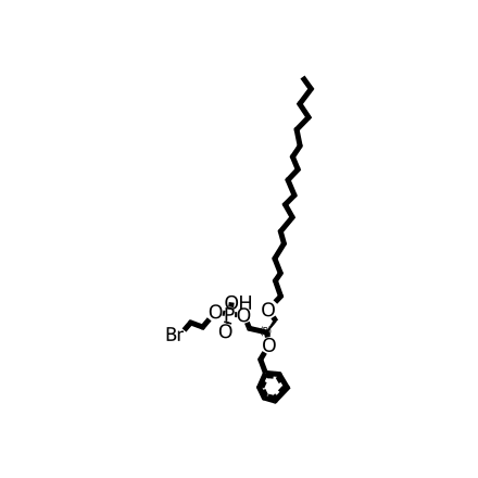 CCCCCCCCCCCCCCCCCCOC[C@H](COP(=O)(O)OCCBr)OCc1ccccc1